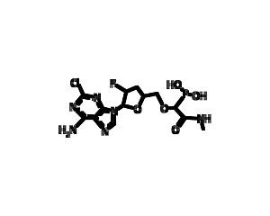 CNC(=O)C(OCC1CC(F)C(n2cnc3c(N)nc(Cl)nc32)O1)P(O)O